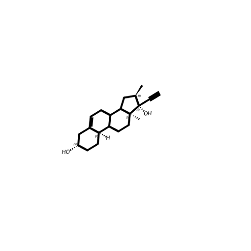 C#C[C@]1(O)[C@H](C)CC2C3CC=C4C[C@@H](O)CC[C@@H]4C3CC[C@@]21C